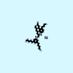 CCCCCCC(/C=N/c1cc(CCCCC)cc(CCCCC)c1)=N\c1ccc(CCCC)c(CCCC)c1.[Ni]